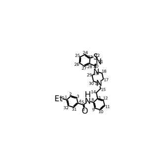 CCc1ccc(C(=O)Nc2ccccc2CCN2CCN(c3nsc4ccccc34)CC2)cc1